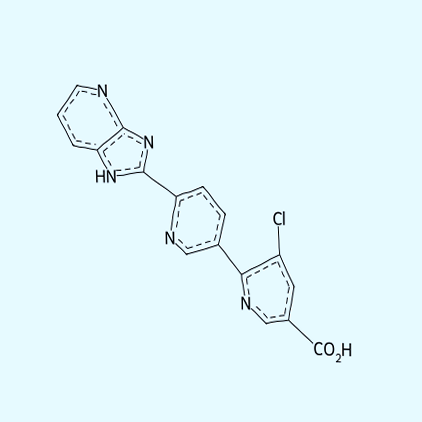 O=C(O)c1cnc(-c2ccc(-c3nc4ncccc4[nH]3)nc2)c(Cl)c1